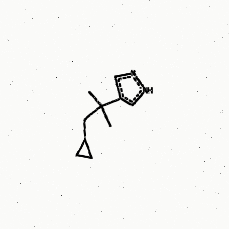 CC(C)(CC1CC1)c1cn[nH]c1